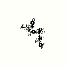 COC(=O)[C@H](CCNC(=O)C(=O)Nc1ccc(F)c(F)c1)NC(=O)c1ccc(Nc2nc(NC3(c4ccc(Cl)cc4)CC3)nc(OCC(F)(F)F)n2)cc1